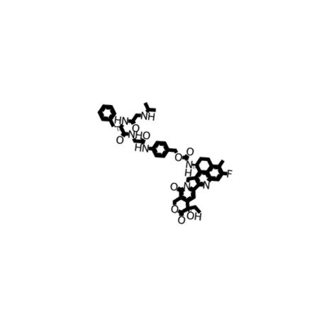 CC[C@@]1(O)C(=O)OCc2c1cc1n(c2=O)Cc2c-1nc1cc(F)c(C)c3c1c2[C@@H](NC(=O)OCc1ccc(NC(=O)CNC(=O)[C@H](Cc2ccccc2)NC(=O)CNC(C)C)cc1)CC3